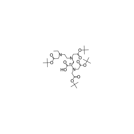 CCN(CCN(CC(=O)OC(C)(C)C)C[C@H](C(=O)O)N(CC(=O)OC(C)(C)C)CC(=O)OC(C)(C)C)CC(=O)OC(C)(C)C